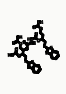 O=C(O)OCC(OC(=O)O)C(CSc1nc2ccccc2s1)OC(=O)O.O=C(O)OCCC(CSc1nc2ccccc2s1)OC(=O)O